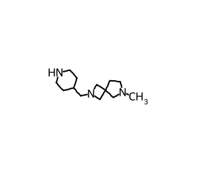 CN1CCC2(C1)CN(CC1CCNCC1)C2